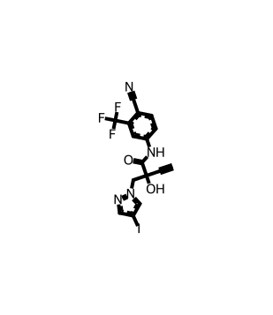 C#CC(O)(Cn1cc(I)cn1)C(=O)Nc1ccc(C#N)c(C(F)(F)F)c1